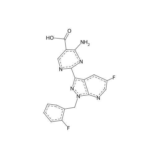 Nc1nc(-c2nn(Cc3ccccc3F)c3ncc(F)cc23)ncc1C(=O)O